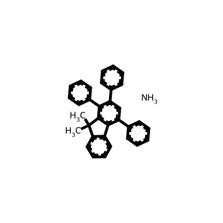 CC1(C)c2ccccc2-c2c(-c3ccccc3)cc(-c3ccccc3)c(-c3ccccc3)c21.N